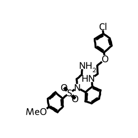 COc1ccc(S(=O)(=O)N(CCN)c2ccccc2NCCOc2ccc(Cl)cc2)cc1